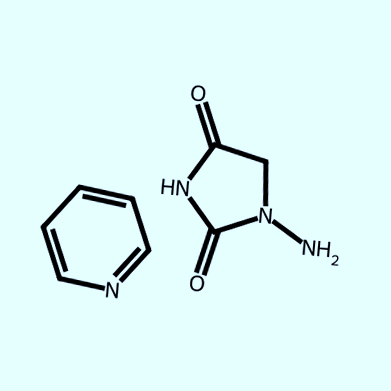 NN1CC(=O)NC1=O.c1ccncc1